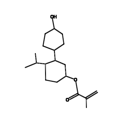 C=C(C)C(=O)OC1CCC(C(C)C)C(C2CCC(O)CC2)C1